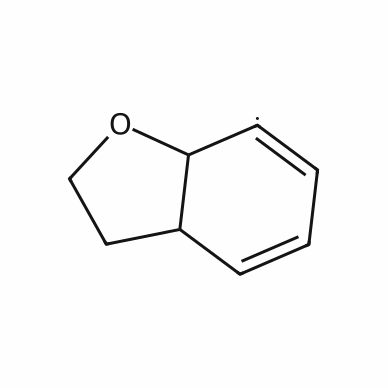 [C]1=CC=CC2CCOC12